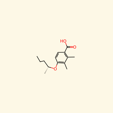 CCC[C@@H](C)Oc1ccc(C(=O)O)c(C)c1C